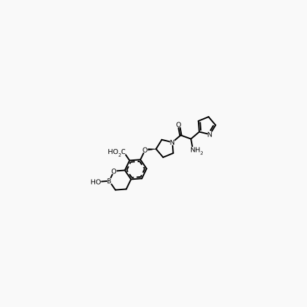 NC(C(=O)N1CC[C@@H](Oc2ccc3c(c2C(=O)O)OB(O)CC3)C1)C1=CCC=N1